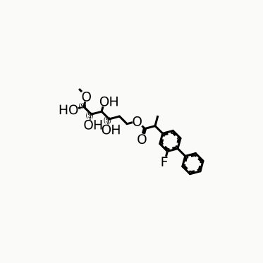 CO[C@H](O)[C@@H](O)C(O)[C@@H](O)CCOC(=O)C(C)c1ccc(-c2ccccc2)c(F)c1